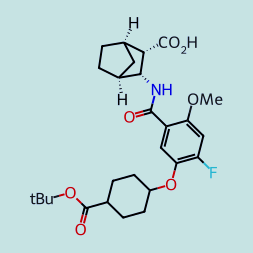 COc1cc(F)c(OC2CCC(C(=O)OC(C)(C)C)CC2)cc1C(=O)N[C@@H]1[C@H]2CC[C@H](C2)[C@@H]1C(=O)O